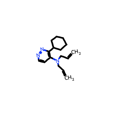 C=CCN(CC=C)c1ccnnc1C1CCCCC1